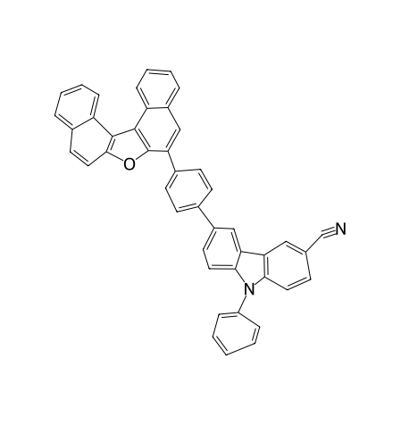 N#Cc1ccc2c(c1)c1cc(-c3ccc(-c4cc5ccccc5c5c4oc4ccc6ccccc6c45)cc3)ccc1n2-c1ccccc1